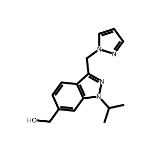 CC(C)n1nc(Cn2cccn2)c2ccc(CO)cc21